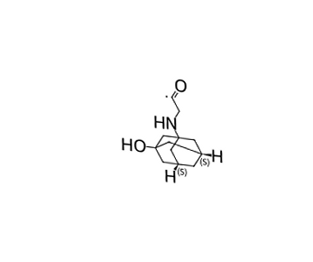 O=[C]CNC12C[C@@H]3C[C@H](CC(O)(C3)C1)C2